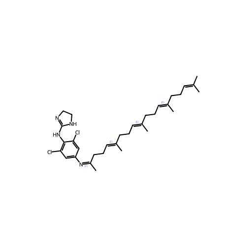 CC(C)=CCC/C(C)=C/CC/C(C)=C/CC/C(C)=C/CC/C(C)=N\c1cc(Cl)c(NC2=NCCN2)c(Cl)c1